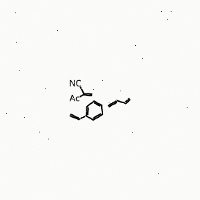 C=C(C#N)C(C)=O.C=CC=C.C=Cc1ccccc1